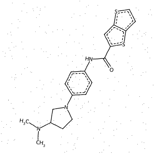 CN(C)C1CCN(c2ccc(NC(=O)c3cc4sccc4s3)cc2)C1